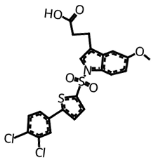 COc1ccc2c(c1)c(CCC(=O)O)cn2S(=O)(=O)c1ccc(-c2ccc(Cl)c(Cl)c2)s1